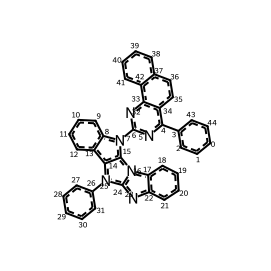 c1ccc(-c2nc(-n3c4ccccc4c4c3n3c5ccccc5nc3n4-c3ccccc3)nc3c2ccc2ccccc23)cc1